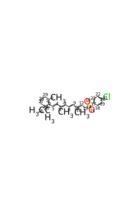 CC1=C(/C=C/C(C)=C/C=C/C(C)=C/CS(=O)(=O)c2ccc(Cl)cc2)C(C)(C)CCC1